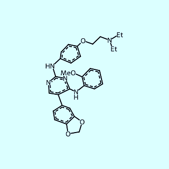 CCN(CC)CCOc1ccc(Nc2ncc(-c3ccc4c(c3)OCO4)c(Nc3ccccc3OC)n2)cc1